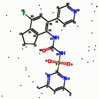 Cc1cc(C)nc(S(=O)(=O)NC(=O)Nc2c(-c3ccncc3)cc(F)c3c2CCC3)n1